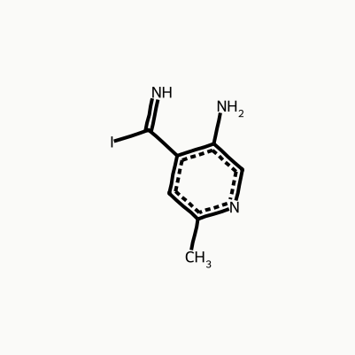 Cc1cc(C(=N)I)c(N)cn1